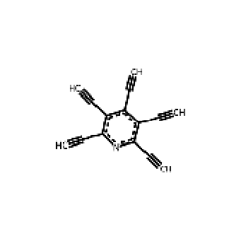 C#Cc1nc(C#C)c(C#C)c(C#C)c1C#C